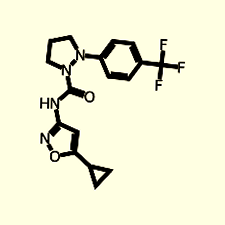 O=C(Nc1cc(C2CC2)on1)N1CCCN1c1ccc(C(F)(F)F)cc1